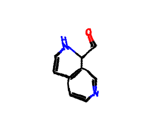 O=CC1NC=Cc2ccncc21